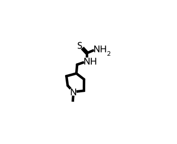 CN1CCC(CNC(N)=S)CC1